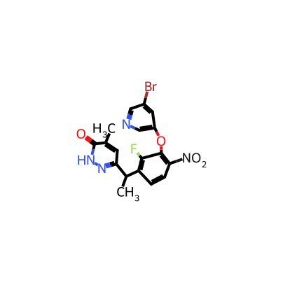 Cc1cc(C(C)c2ccc([N+](=O)[O-])c(Oc3cncc(Br)c3)c2F)n[nH]c1=O